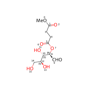 COC(=O)CCC(=O)O[C@@H](C=O)[C@@H](O)[C@@H](O)CO